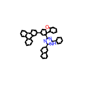 c1ccc(C2=NC(c3cc(-c4ccc5c6ccccc6c6ccccc6c5c4)cc4oc5ccccc5c34)=NC(c3ccc4ccccc4c3)N2)cc1